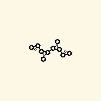 c1ccc(-n2c3ccc(-c4ccc5c(c4)c4cc(-c6cccc7c6oc6ccccc67)ccc4n5-c4ccccc4)cc3c3cc(-c4cccc5c4oc4ccccc45)ccc32)cc1